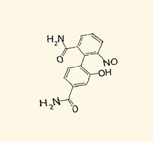 NC(=O)c1ccc(-c2c(N=O)cccc2C(N)=O)c(O)c1